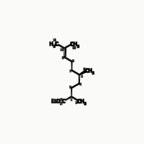 CCOC(=O)C(C)CC[C@H](C)CCC=C(C)C